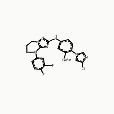 COc1cc(Nc2nc3n(n2)CCCN3c2ccc(F)c(F)c2)ccc1-n1cnc(Cl)c1